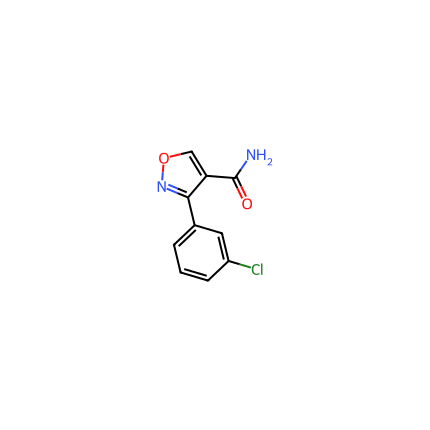 NC(=O)c1conc1-c1cccc(Cl)c1